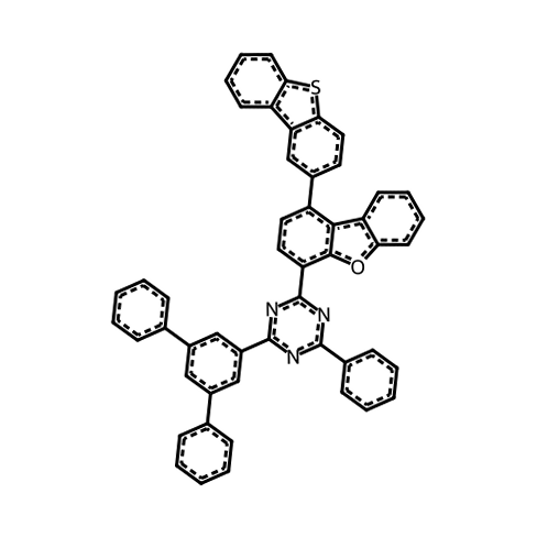 c1ccc(-c2cc(-c3ccccc3)cc(-c3nc(-c4ccccc4)nc(-c4ccc(-c5ccc6sc7ccccc7c6c5)c5c4oc4ccccc45)n3)c2)cc1